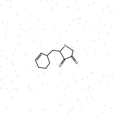 O=C1COC(CC2C=CCCC2)C1=O